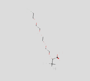 CC(C)(C)C(OCCOCCOCCOCCBr)C(=O)O